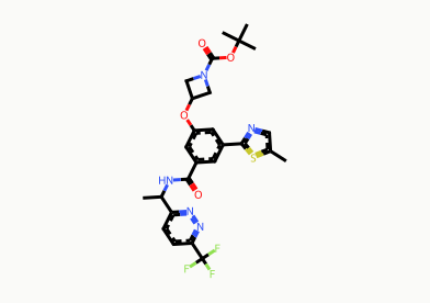 Cc1cnc(-c2cc(OC3CN(C(=O)OC(C)(C)C)C3)cc(C(=O)NC(C)c3ccc(C(F)(F)F)nn3)c2)s1